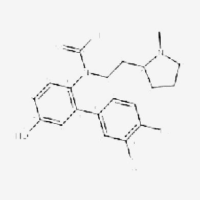 CN1CCCC1CCN(C(=O)O)c1ccc(O)cc1-c1ccc(F)c(Cl)c1